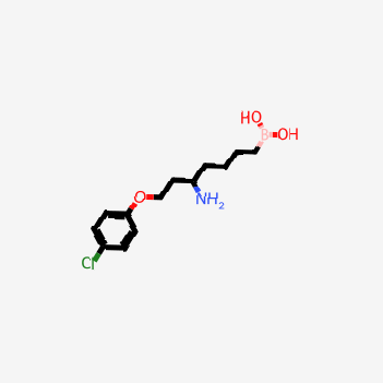 NC(CCCCB(O)O)CCOc1ccc(Cl)cc1